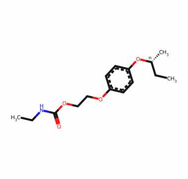 CCNC(=O)OCCOc1ccc(O[C@H](C)CC)cc1